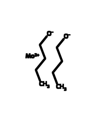 CCCC[O-].CCCC[O-].[Mo+2]